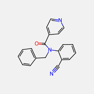 N#Cc1ccccc1N(Cc1ccccc1)C(=O)c1ccncc1